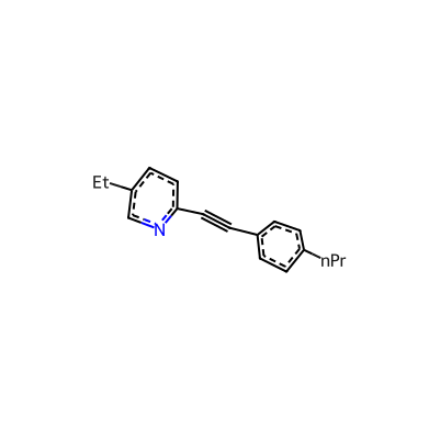 CCCc1ccc(C#Cc2ccc(CC)cn2)cc1